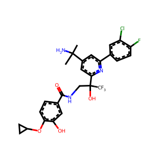 CC(C)(N)c1cc(-c2ccc(F)c(Cl)c2)nc(C(O)(CNC(=O)c2ccc(OC3CC3)c(O)c2)C(F)(F)F)c1